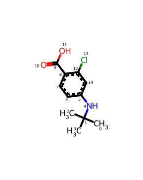 CC(C)(C)Nc1ccc(C(=O)O)c(Cl)c1